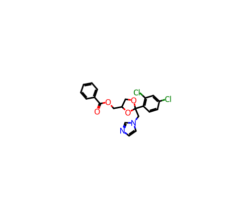 O=C(OCC1COC(Cn2ccnc2)(c2ccc(Cl)cc2Cl)O1)c1ccccc1